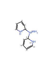 NN(C1C=CC=CN1)C1C=CC=CN1